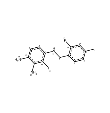 Cc1ccc(CNc2ccc(N)c(N)c2F)c(F)c1